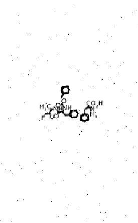 C[C@H](NC(=O)C(Cc1ccccc1)NC(=O)OCc1ccccc1)C(=O)CF.NC(Cc1ccccc1)C(=O)O